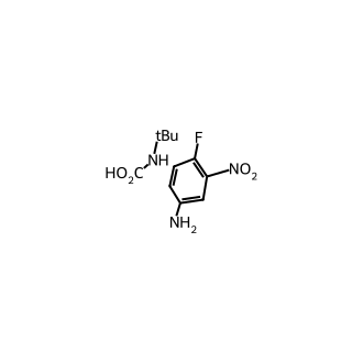 CC(C)(C)NC(=O)O.Nc1ccc(F)c([N+](=O)[O-])c1